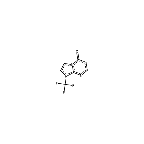 O=c1ccnc2n(C(F)(F)F)ccn12